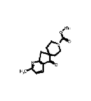 Cc1ccc2c(n1)CC1(CCN(C(=O)OC(C)(C)C)CC1)C2=O